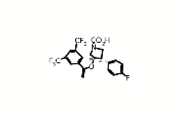 C=C(O[C@H]1CN(C(=O)O)C[C@@H]1c1ccc(F)cc1)c1cc(C(F)(F)F)cc(C(F)(F)F)c1